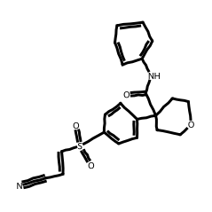 N#CC=CS(=O)(=O)c1ccc(C2(C(=O)Nc3ccccc3)CCOCC2)cc1